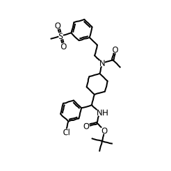 CC(=O)N(CCc1cccc(S(C)(=O)=O)c1)C1CCC(C(NC(=O)OC(C)(C)C)c2cccc(Cl)c2)CC1